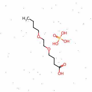 CCCCOCCOCCCC(=O)O.O=P(O)(O)O